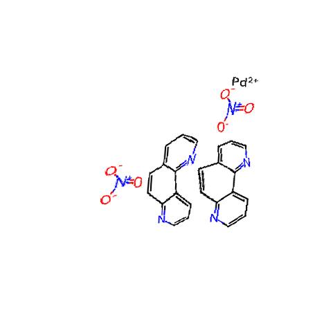 O=[N+]([O-])[O-].O=[N+]([O-])[O-].[Pd+2].c1cnc2c(c1)ccc1ncccc12.c1cnc2c(c1)ccc1ncccc12